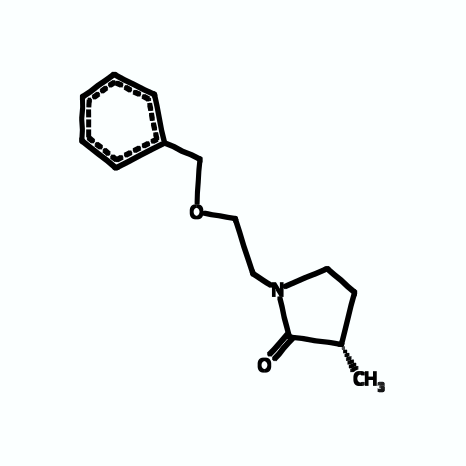 C[C@H]1CCN(CCOCc2ccccc2)C1=O